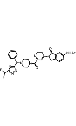 CC(=O)Nc1ccc2c(c1)C(=O)N(c1ccnc(C(=O)N3CCN(C(c4ccccc4)c4nnn(C(F)F)n4)CC3)c1)C2